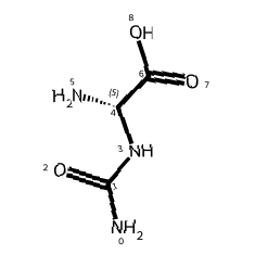 NC(=O)N[C@H](N)C(=O)O